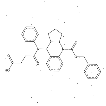 O=C(O)CCC(=O)N(c1ccccc1)C1c2ccccc2N(C(=O)OCc2ccccc2)C2CCCC21